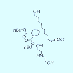 CCCCCCCC/C=C\CCCCCCCCO.CCCCOC(=O)c1ccccc1C(=O)OCCCC.OCCNCCO